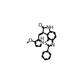 COc1cc[nH]c1/C=C1/C(=O)Nc2ccc3nc(-c4ccccc4)sc3c21